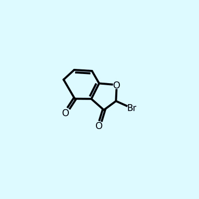 O=C1CC=CC2=C1C(=O)C(Br)O2